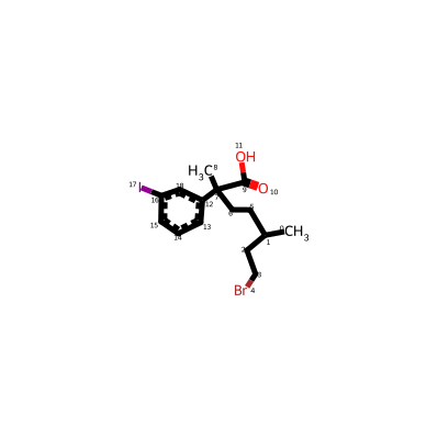 CC(CCBr)CCC(C)(C(=O)O)c1cccc(I)c1